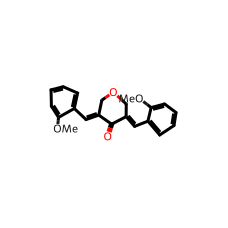 COc1ccccc1/C=C1\COC/C(=C\c2ccccc2OC)C1=O